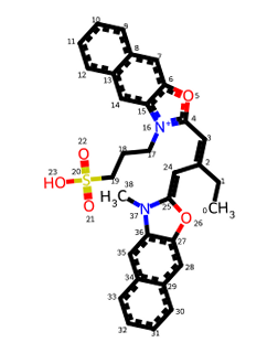 CCC(=Cc1oc2cc3ccccc3cc2[n+]1CCCS(=O)(=O)O)C=C1Oc2cc3ccccc3cc2N1C